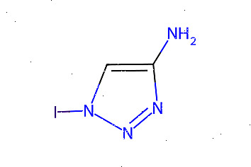 Nc1cn(I)nn1